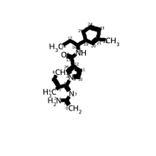 C=C(N)/N=C(\C(C)=C/C)n1ccc(C(=O)NC(CC)C2C=C(C)C=CC2)c1